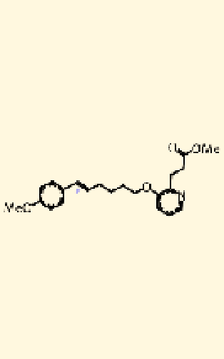 COC(=O)CCc1ncccc1OCCCC/C=C/c1ccc(OC)cc1